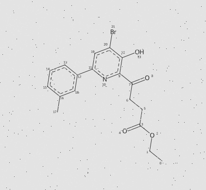 CCOC(=O)CCC(=O)c1nc(-c2cccc(C)c2)cc(Br)c1O